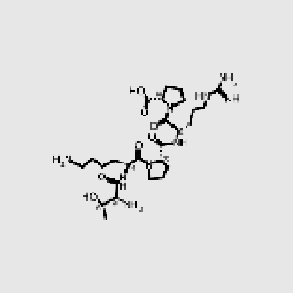 C[C@@H](O)[C@H](N)C(=O)N[C@@H](CCCCN)C(=O)N1CCC[C@H]1C(=O)N[C@@H](CCCNC(=N)N)C(=O)N1CCC[C@H]1C(=O)O